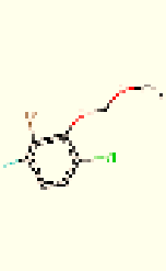 COCOc1c(Cl)ccc(F)c1Br